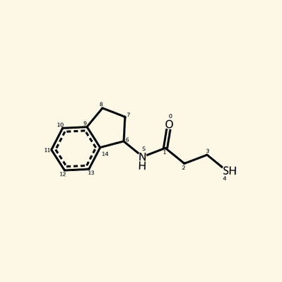 O=C(CCS)NC1CCc2ccccc21